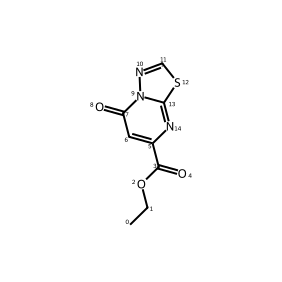 CCOC(=O)c1cc(=O)n2n[c]sc2n1